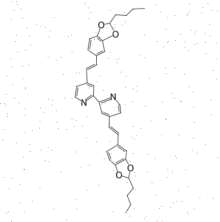 CCCCC1Oc2ccc(/C=C/c3ccnc(-c4cc(/C=C/c5ccc6c(c5)OC(CCCC)O6)ccn4)c3)cc2O1